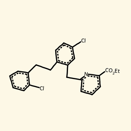 CCOC(=O)c1cccc(Cc2cc(Cl)ccc2CCc2ccccc2Cl)n1